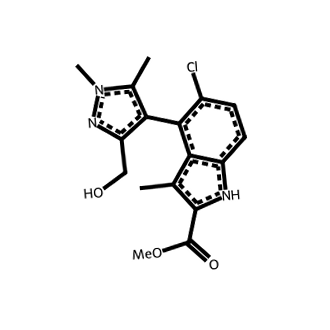 COC(=O)c1[nH]c2ccc(Cl)c(-c3c(CO)nn(C)c3C)c2c1C